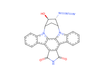 [N-]=[N+]=N[C@@H]1C2CC([C@H]1O)n1c3ccccc3c3c4c(c5c6ccccc6n2c5c31)C(=O)NC4=O